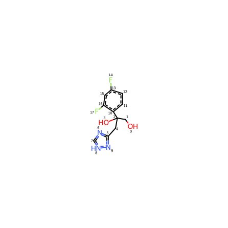 OCC(O)(Cc1nc[nH]n1)c1ccc(F)cc1F